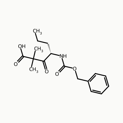 CCC[C@H](NC(=O)OCc1ccccc1)C(=O)C(C)(C)C(=O)O